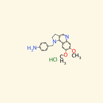 COc1cc2ncc3c(c2cc1OC)N(Cc1ccc(N)cc1)CC3.Cl